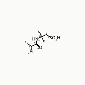 CC[C@@H](I)C(=O)NC(C)(C)CS(=O)(=O)O